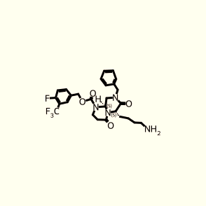 NCCCC[C@H]1C(=O)N(Cc2ccccc2)C[C@@H]2N(C(=O)OCc3ccc(F)c(C(F)(F)F)c3)CCC(=O)N21